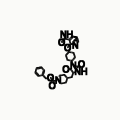 NC(=O)c1cccnc1O[C@H]1CC[C@H](N2C(=O)NC(CC3CCN(C(=O)OCc4ccccc4)CC3)C2=O)CC1